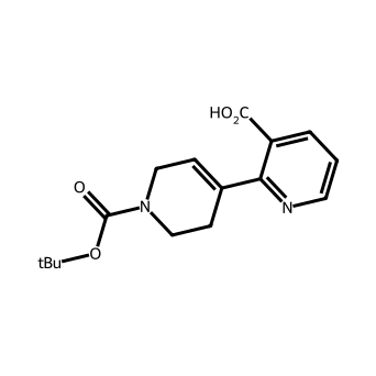 CC(C)(C)OC(=O)N1CC=C(c2ncccc2C(=O)O)CC1